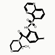 C[C@H]1COCCN1C(=O)c1ccc(I)cc1NS(=O)(=O)c1cccc2nccnc12